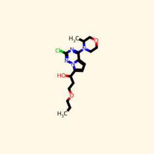 CCCOCCC(O)c1ccc2c(N3CCOCC3C)nc(Cl)nn12